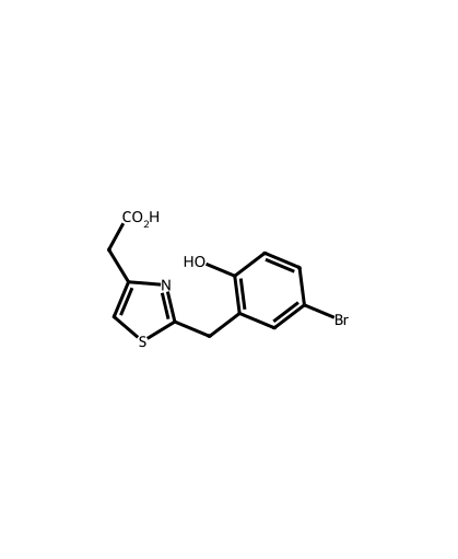 O=C(O)Cc1csc(Cc2cc(Br)ccc2O)n1